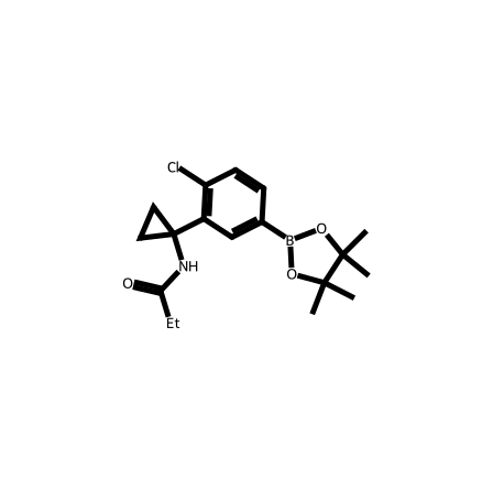 CCC(=O)NC1(c2cc(B3OC(C)(C)C(C)(C)O3)ccc2Cl)CC1